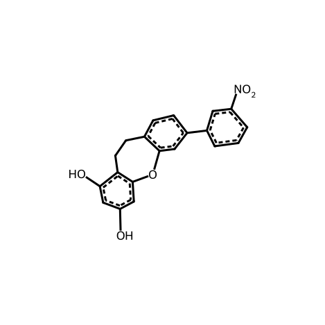 O=[N+]([O-])c1cccc(-c2ccc3c(c2)Oc2cc(O)cc(O)c2CC3)c1